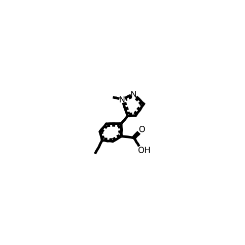 Cc1ccc(-c2ccnn2C)c(C(=O)O)c1